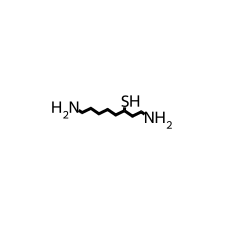 NCCCCCC(S)CCN